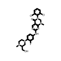 CN1CN(c2c(Cl)cccc2Cl)C(=O)c2cnc(Nc3ccc(N4CCN(C)C(CO)C4)c(F)c3)nc21